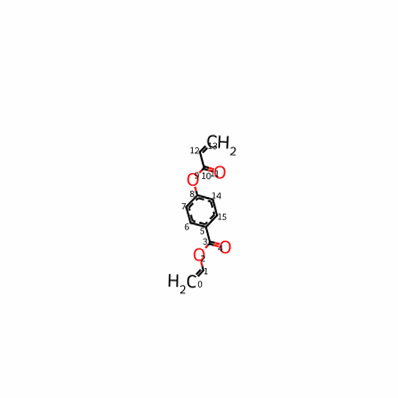 C=COC(=O)c1ccc(OC(=O)C=C)cc1